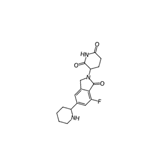 O=C1CCC(N2Cc3cc(C4CCCCN4)cc(F)c3C2=O)C(=O)N1